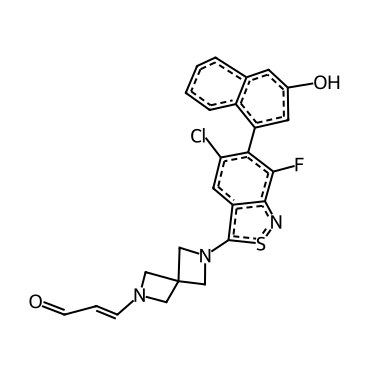 O=CC=CN1CC2(C1)CN(c1snc3c(F)c(-c4cc(O)cc5ccccc45)c(Cl)cc13)C2